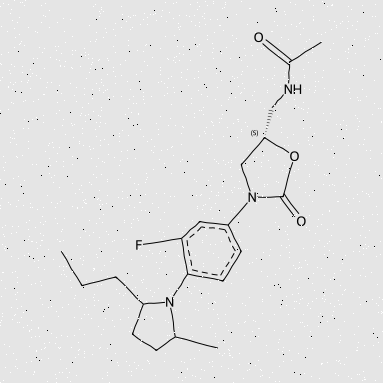 CCCC1CCC(C)N1c1ccc(N2C[C@H](CNC(C)=O)OC2=O)cc1F